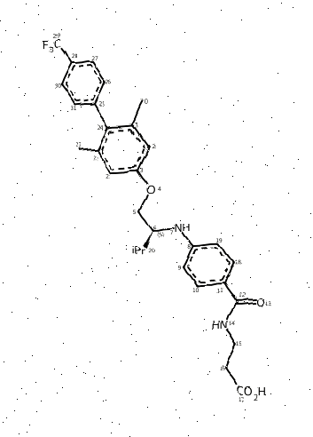 Cc1cc(OC[C@@H](Nc2ccc(C(=O)NCCC(=O)O)cc2)C(C)C)cc(C)c1-c1ccc(C(F)(F)F)cc1